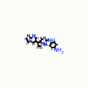 N[C@H]1CC[C@@H](Nc2ncc3c(-c4cnc5nccn5c4)ccn3n2)CC1